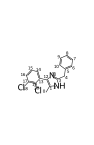 Cc1[nH]c(Cc2ccccc2)nc1-c1cccc(Cl)c1Cl